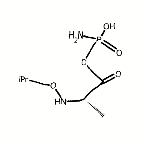 CC(C)ON[C@@H](C)C(=O)OP(N)(=O)O